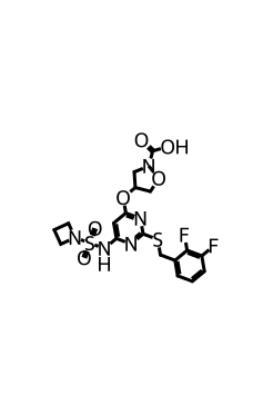 O=C(O)N1CC(Oc2cc(NS(=O)(=O)N3CCC3)nc(SCc3cccc(F)c3F)n2)CO1